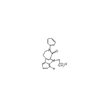 O=C(O)Cn1c2c(c3cccc(F)c31)CCN(c1ccccc1)C2=O